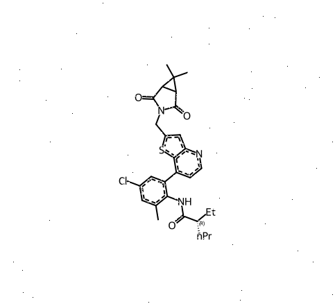 CCC[C@@H](CC)C(=O)Nc1c(C)cc(Cl)cc1-c1ccnc2cc(CN3C(=O)C4C(C3=O)C4(C)C)sc12